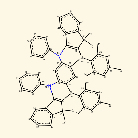 Cc1cc(C)c(B2C3=C(c4ccccc4C3(C)C)N(c3ccccc3)c3cc4c(cc32)B(c2c(C)cc(C)cc2C)C2=C(c3ccccc3C2(C)C)N4c2ccccc2)c(C)c1